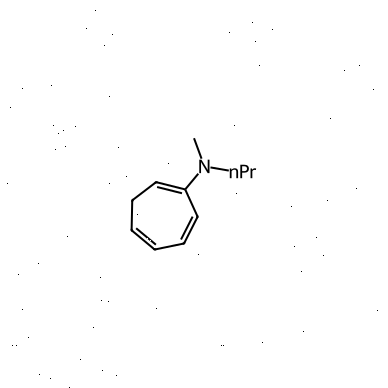 CCCN(C)C1=CCC=CC=C1